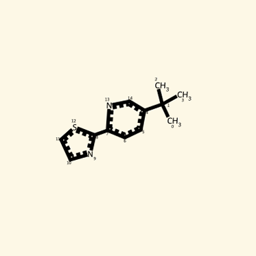 CC(C)(C)c1ccc(-c2nccs2)nc1